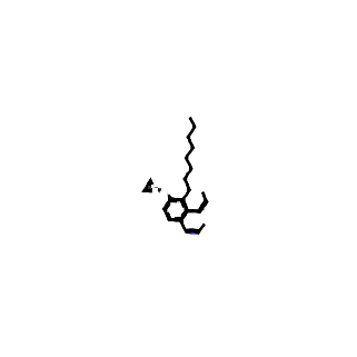 C/C=C\c1ccc(O)c(CCCCCCCC)c1/C=C\C.C1CO1